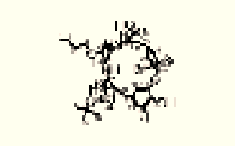 CCCCOC(C)[C@@H]1NC(=O)[C@@H](NC(=O)OC(C)(C)C)Cc2cc(I)c(O)c(c2)Oc2c(Br)cc(cc2Br)C[C@@H](C(=O)O)NC1=O